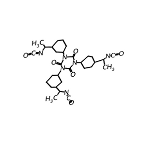 CC(N=C=O)C1CCC(n2c(=O)n(C3CCCC(C(C)N=C=O)C3)c(=O)n(C3CCCC(C(C)N=C=O)C3)c2=O)CC1